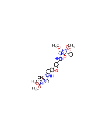 COC[C@H]1C[C@@H](c2ncc(-c3ccc4c(c3)COc3cc5c(cc3-4)CCc3nc([C@@H]4CCCN4C(=O)[C@@H](NC(=O)OC)C(C)C)[nH]c3-5)[nH]2)N(C(=O)[C@H](NC(=O)OC)c2ccccc2)C1